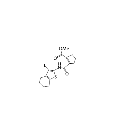 COC(=O)C1=C(C(=O)Nc2sc3c(c2I)CCCC3)CCC1